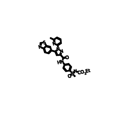 CCOC(=O)N=S(C)(=O)c1ccc(NC(=O)c2cc(-c3ccc4ncsc4c3)n(-c3cccc(C)n3)n2)cc1